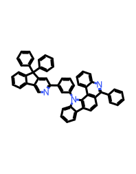 c1ccc(-c2nc3ccccc3c3c2ccc2c4ccccc4n(-c4cccc(-c5cc6c(cn5)-c5ccccc5C6(c5ccccc5)c5ccccc5)c4)c23)cc1